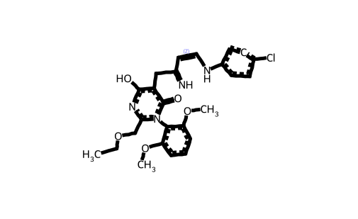 CCOCc1nc(O)c(CC(=N)/C=C\Nc2ccc(Cl)cc2)c(=O)n1-c1c(OC)cccc1OC